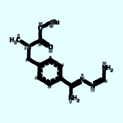 CN(Cc1ccc(/C(N)=N/N=C\N)cc1)C(=O)OC(C)(C)C